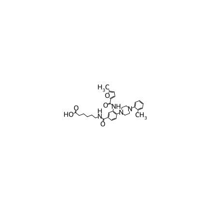 Cc1ccc(C(=O)Nc2cc(C(=O)NCCCCCC(=O)O)ccc2N2CCN(c3ccccc3C)CC2)o1